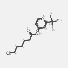 O=C(CCCCCCl)Nc1ccnc(C(F)(F)F)c1